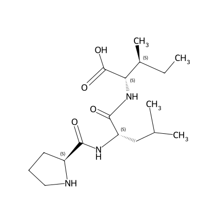 CC[C@H](C)[C@H](NC(=O)[C@H](CC(C)C)NC(=O)[C@@H]1CCCN1)C(=O)O